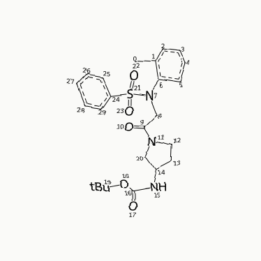 Cc1ccccc1N(CC(=O)N1CCC(NC(=O)OC(C)(C)C)C1)S(=O)(=O)c1ccccc1